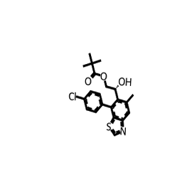 Cc1cc2ncsc2c(-c2ccc(Cl)cc2)c1[C@@H](O)COC(=O)C(C)(C)C